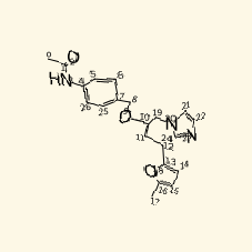 CC(=O)Nc1ccc(COC(CCc2ccc(C)o2)Cn2ccnc2)cc1